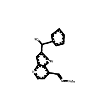 CON=Cc1ccnc2cc(C(O)c3ccccc3)[nH]c12